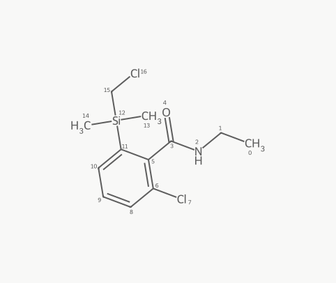 CCNC(=O)c1c(Cl)cccc1[Si](C)(C)CCl